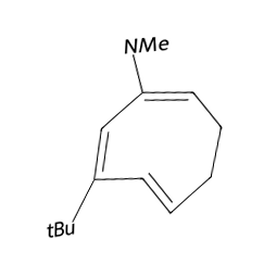 CNC1=C/CC/C=C/C(C(C)(C)C)=C\1